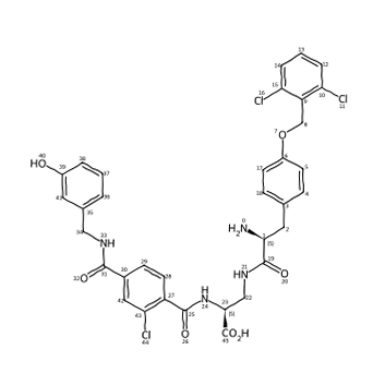 N[C@@H](Cc1ccc(OCc2c(Cl)cccc2Cl)cc1)C(=O)NC[C@H](NC(=O)c1ccc(C(=O)NCc2cccc(O)c2)cc1Cl)C(=O)O